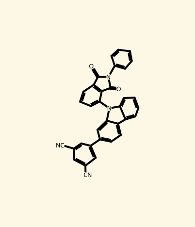 N#Cc1cc(C#N)cc(-c2ccc3c4ccccc4n(-c4cccc5c4C(=O)N(c4ccccc4)C5=O)c3c2)c1